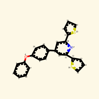 c1ccc(Oc2ccc(-c3cc(-c4cccs4)nc(-c4cccs4)c3)cc2)cc1